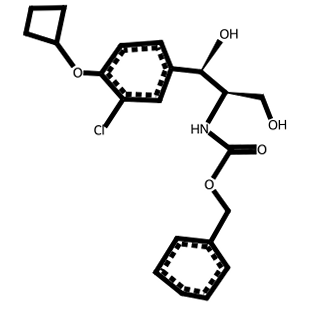 O=C(N[C@H](CO)[C@H](O)c1ccc(OC2CCC2)c(Cl)c1)OCc1ccccc1